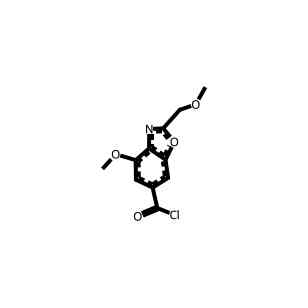 COCc1nc2c(OC)cc(C(=O)Cl)cc2o1